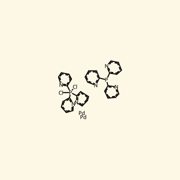 ClP(Cl)(c1ccccn1)(c1ccccn1)c1ccccn1.[Pd].[Pd].c1ccc(P(c2ccccn2)c2ccccn2)nc1